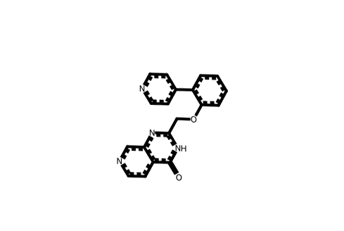 O=c1[nH]c(COc2ccccc2-c2ccncc2)nc2cnccc12